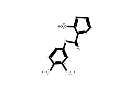 O=C(O)c1ccc(OC(=O)c2ccccc2C(=O)O)cc1C(=O)O